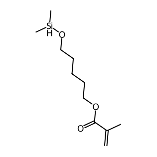 C=C(C)C(=O)OCCCCCO[SiH](C)C